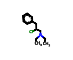 CCN(CC)CC(Cl)Cc1ccccc1